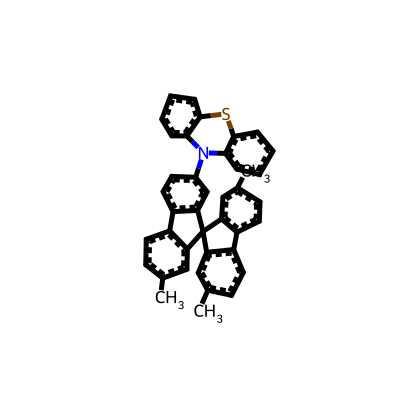 Cc1ccc2c(c1)C1(c3cc(C)ccc3-2)c2cc(C)ccc2-c2ccc(N3c4ccccc4Sc4ccccc43)cc21